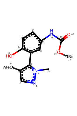 COc1cnn(C)c1-c1cc(NC(=O)OC(C)(C)C)ccc1O